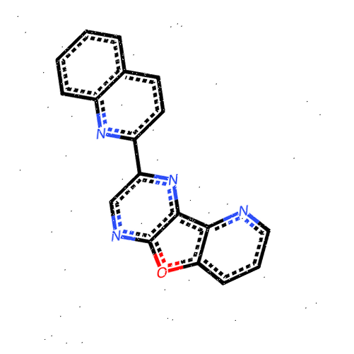 c1ccc2nc(-c3cnc4oc5cccnc5c4n3)ccc2c1